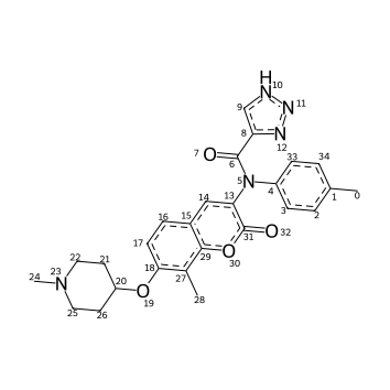 Cc1ccc(N(C(=O)c2c[nH]nn2)c2cc3ccc(OC4CCN(C)CC4)c(C)c3oc2=O)cc1